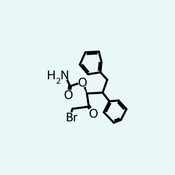 NC(=O)O[C@H](C(=O)CBr)C(Cc1ccccc1)c1ccccc1